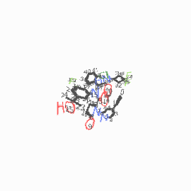 C#Cc1ccnc(N2C(=O)CC[C@H]2C(=O)N(c2cc(F)cc(C(C)(C)O)c2)[C@H](C(=O)NC2CC(F)(F)C2)c2ccccc2Cl)c1